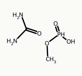 CO[PH](=O)O.NC(N)=O